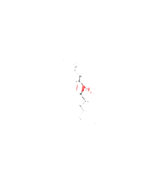 O.O.O=C(O)CCCCCCCCCCC(=O)O